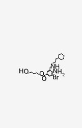 Nc1c(Br)cc(C(=O)OCCCCCO)cc1CNCCCC1CCCCC1